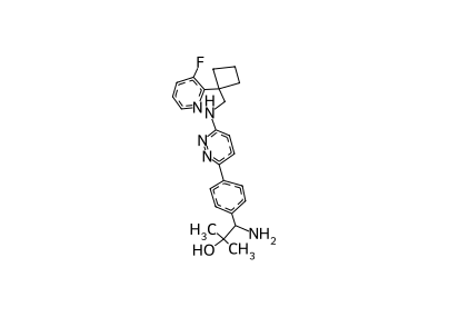 CC(C)(O)C(N)c1ccc(-c2ccc(NCC3(c4ncccc4F)CCC3)nn2)cc1